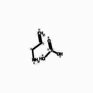 C=CCN.[O]=[Ti]([OH])[OH]